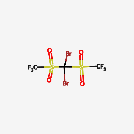 O=S(=O)(C(F)(F)F)C(Br)(Br)S(=O)(=O)C(F)(F)F